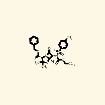 Cc1ccc(S(=O)(=O)N(C(=O)OCC(Cl)(Cl)Cl)[C@@H]2C(=O)N3[C@@H]2SC(C)(C)[C@@H]3C(=O)OCc2ccccc2)cc1